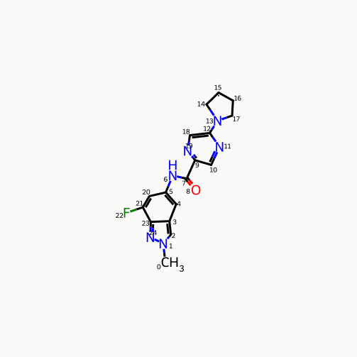 Cn1cc2cc(NC(=O)c3cnc(N4C[CH]CC4)cn3)cc(F)c2n1